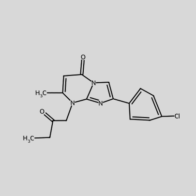 CCC(=O)Cn1c(C)cc(=O)n2cc(-c3ccc(Cl)cc3)nc12